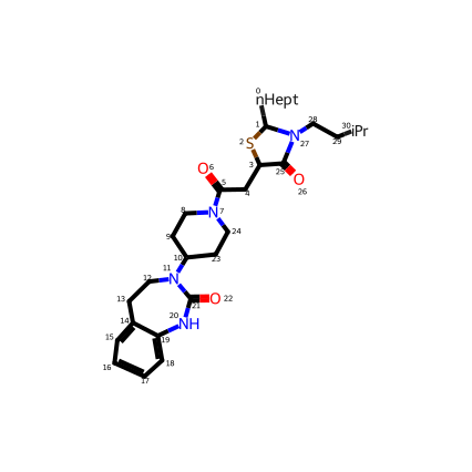 CCCCCCCC1SC(CC(=O)N2CCC(N3CCc4ccccc4NC3=O)CC2)C(=O)N1CCC(C)C